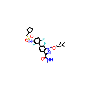 CNC(=O)c1nn(COCC[Si](C)(C)C)c2c(F)c(-c3c(F)ccc(NS(=O)(=O)CC4CCCC4)c3F)ccc12